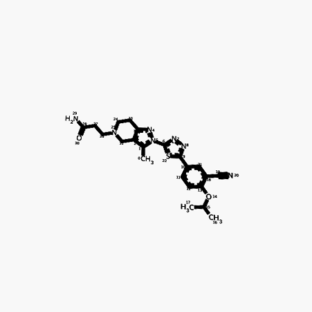 Cc1c2c(nn1-c1nnc(-c3ccc(OC(C)C)c(C#N)c3)s1)CCN(CCC(N)=O)C2